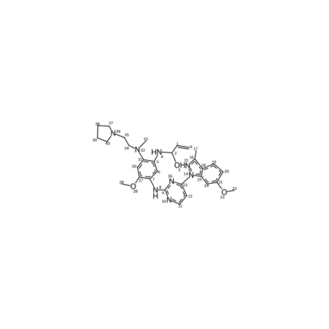 C=CC(O)Nc1cc(Nc2nccc(-n3nc(C)c4ccc(OC)cc43)n2)c(OC)cc1N(C)CCN1CCCC1